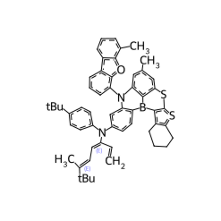 C=C/C(=C\C=C(/C)C(C)(C)C)N(c1ccc(C(C)(C)C)cc1)c1ccc2c(c1)N(c1cccc3c1oc1c(C)cccc13)c1cc(C)cc3c1B2c1c(sc2c1CCCC2)S3